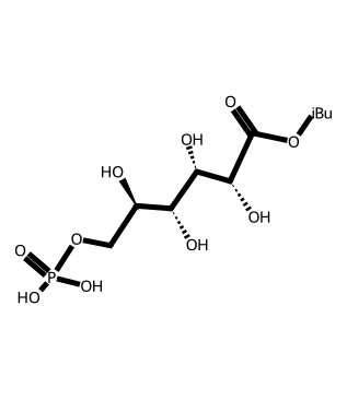 CCC(C)OC(=O)[C@H](O)[C@@H](O)[C@H](O)[C@H](O)COP(=O)(O)O